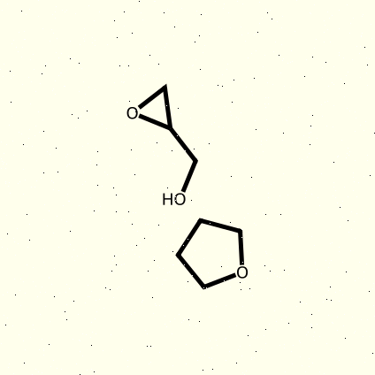 C1CCOC1.OCC1CO1